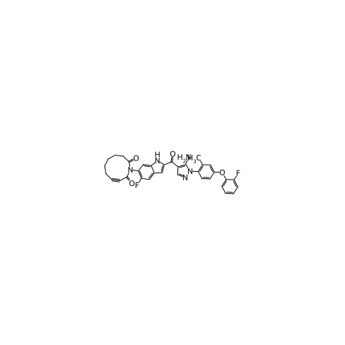 Cc1cc(Oc2ccccc2F)ccc1-n1ncc(C(=O)c2cc3cc(F)c(N4C(=O)C#CCCCCCC4=O)cc3[nH]2)c1N